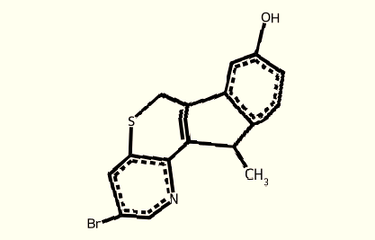 CC1C2=C(CSc3cc(Br)cnc32)c2cc(O)ccc21